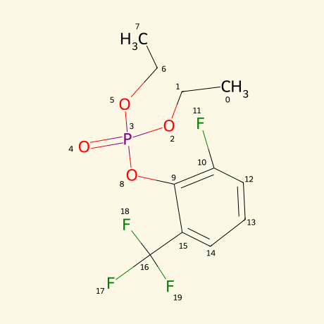 CCOP(=O)(OCC)Oc1c(F)cccc1C(F)(F)F